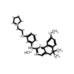 COc1ccc2c(c1)-c1nc(Nc3cccc(OCCN4CCCC4)c3)ncc1CC2(C)C.Cl